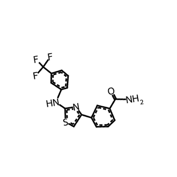 NC(=O)c1cccc(-c2csc(Nc3cccc(C(F)(F)F)c3)n2)c1